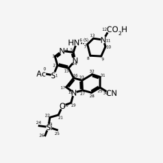 CC(=O)Sc1cnc(N[C@H]2CCCN(C(=O)O)C2)nc1-c1cn(COCC[Si](C)(C)C)c2cc(C#N)ccc12